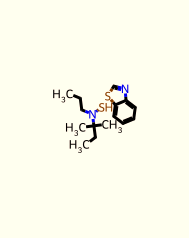 CCCN(S)C(C)(C)CC.c1ccc2scnc2c1